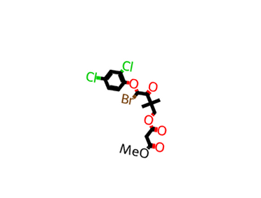 COC(=O)CC(=O)OCC(C)(C)C(=O)C(Br)Oc1ccc(Cl)cc1Cl